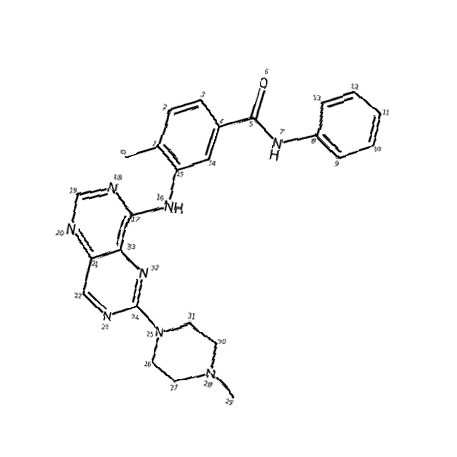 Cc1ccc(C(=O)Nc2ccccc2)cc1Nc1ncnc2cnc(N3CCN(C)CC3)nc12